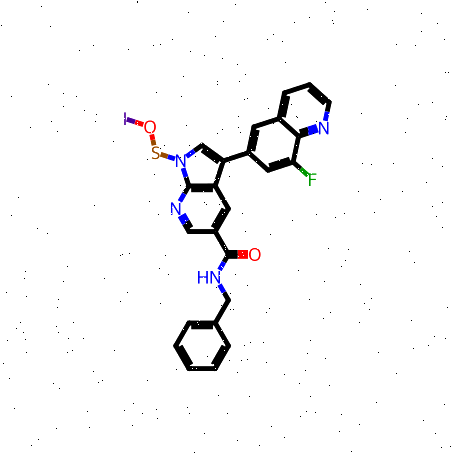 O=C(NCc1ccccc1)c1cnc2c(c1)c(-c1cc(F)c3ncccc3c1)cn2SOI